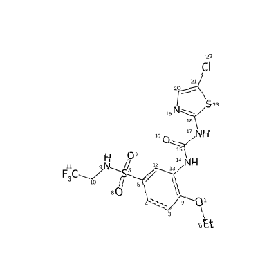 CCOc1ccc(S(=O)(=O)NCC(F)(F)F)cc1NC(=O)Nc1ncc(Cl)s1